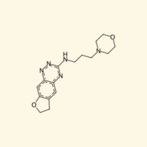 c1c2c(cc3nc(NCCCN4CCOCC4)nnc13)CCO2